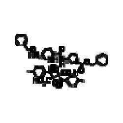 Cc1ccc(C(=O)C(O)(C(=O)O)C(O)(C(=O)O)C(=O)c2ccc(C)cc2)cc1.O=C(N[C@H]1CCN(C(=O)OCc2ccccc2)C1)[C@@H]1CC[C@@H](NOCc2ccccc2)CN1